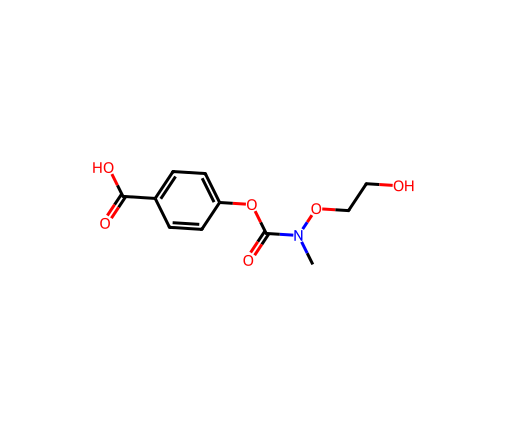 CN(OCCO)C(=O)Oc1ccc(C(=O)O)cc1